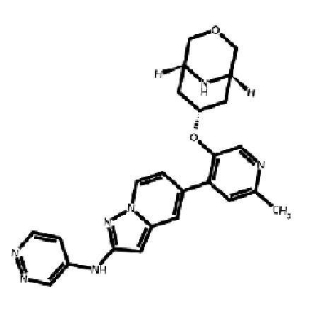 Cc1cc(-c2ccn3nc(Nc4ccnnc4)cc3c2)c(O[C@H]2C[C@H]3COC[C@@H](C2)N3)cn1